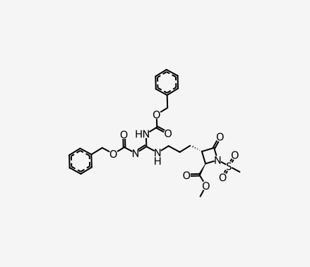 COC(=O)[C@H]1[C@H](CCCNC(=NC(=O)OCc2ccccc2)NC(=O)OCc2ccccc2)C(=O)N1S(C)(=O)=O